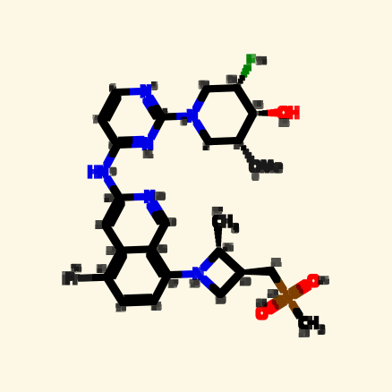 CO[C@@H]1CN(c2nccc(Nc3cc4c(C(C)C)ccc(N5C[C@H](CS(C)(=O)=O)[C@H]5C)c4cn3)n2)C[C@H](F)[C@@H]1O